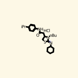 CCCCN1/C(=N/C2CCCCC2)SCC1CC(=O)Nc1ccc(C(C)C)cc1.Cl